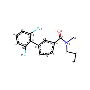 CCCN(C)C(=O)c1cccc(-c2c(F)cccc2F)c1